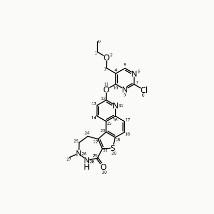 CCOCc1cnc(Cl)nc1Oc1ccc2c(ccc3sc4c(c32)CCN(C)NC4=O)n1